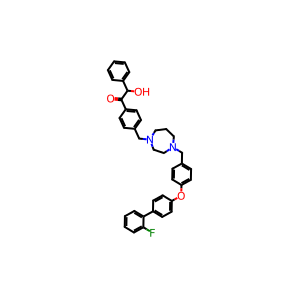 O=C(c1ccc(CN2CCCN(Cc3ccc(Oc4ccc(-c5ccccc5F)cc4)cc3)CC2)cc1)C(O)c1ccccc1